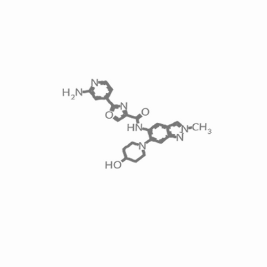 Cn1cc2cc(NC(=O)c3coc(-c4ccnc(N)c4)n3)c(N3CCC(O)CC3)cc2n1